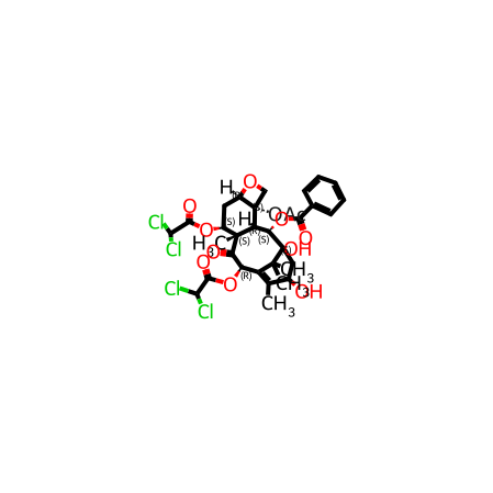 CC(=O)O[C@@]12CO[C@@H]1C[C@H](OC(=O)C(Cl)Cl)[C@@]1(C)C(=O)[C@H](OC(=O)C(Cl)Cl)C3=C(C)C(O)C[C@@](O)([C@@H](OC(=O)c4ccccc4)[C@H]21)C3(C)C